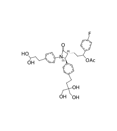 CC(=O)OC(CC[C@H]1C(=O)N(c2ccc(CCC(O)O)cc2)[C@@H]1c1ccc(CCC(O)(CO)CO)cc1)c1ccc(F)cc1